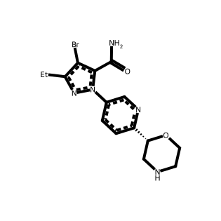 CCc1nn(-c2ccc([C@H]3CNCCO3)nc2)c(C(N)=O)c1Br